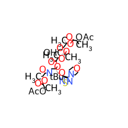 CC(=O)O[C@@H](C)C(=O)O[C@@H](C)C(=O)O[C@](C)(C=O)O[C@@H](C)C(=O)O[C@H](COc1nsnc1N1CCOCC1)CN(C(=O)[C@H](C)OC(=O)[C@H](C)OC(C)=O)C(C)(C)C